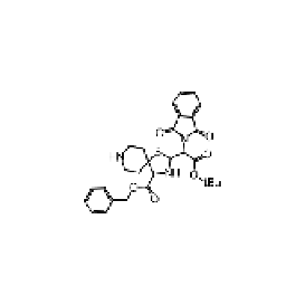 CC(C)(C)OC(=O)C(C1NC(C(=O)OCc2ccccc2)C2(CCNCC2)S1)N1C(=O)c2ccccc2C1=O